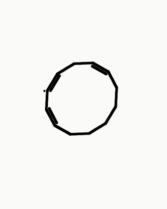 [C]1=CCC=CCCCCCC=C1